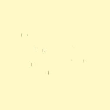 COC(=O)c1cc(C(C)O)n2nc(C)cc2c1